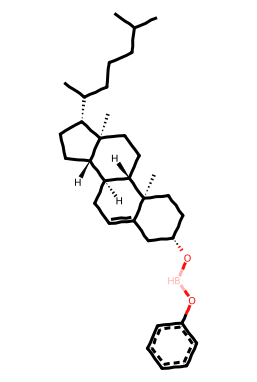 CC(C)CCCC(C)[C@H]1CC[C@H]2[C@@H]3CC=C4C[C@@H](OBOc5ccccc5)CC[C@]4(C)[C@H]3CC[C@]12C